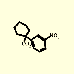 O=C(O)C1(c2cccc([N+](=O)[O-])c2)CCCCC1